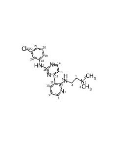 CN(C)CCNc1ncccc1-c1ccnc(Nc2cccc(Cl)c2)n1